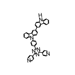 c1ccc2c(c1)[nH]c1ccc(-c3ccc4c(c3)c3ccccc3n4-c3ccc(-c4nc(-c5ccncc5)nc(-c5ccncc5)n4)cc3)cc12